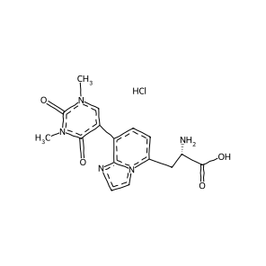 Cl.Cn1cc(-c2ccc(C[C@H](N)C(=O)O)n3ccnc23)c(=O)n(C)c1=O